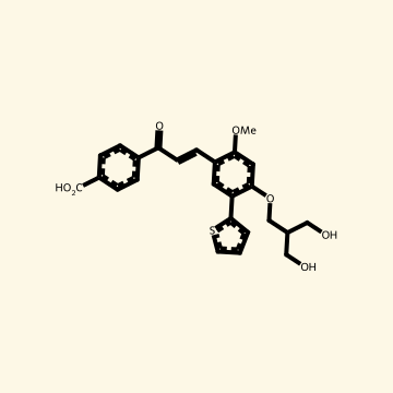 COc1cc(OCC(CO)CO)c(-c2cccs2)cc1C=CC(=O)c1ccc(C(=O)O)cc1